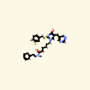 CN(CCc1ccccc1)C(=O)CCCCCn1cc(Cc2cncnc2)c(=O)nc1SCc1ccc(F)c(F)c1